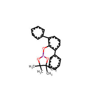 CC1(C)OP(Oc2c(-c3ccccc3)cccc2-c2ccccc2)OC1(C)C